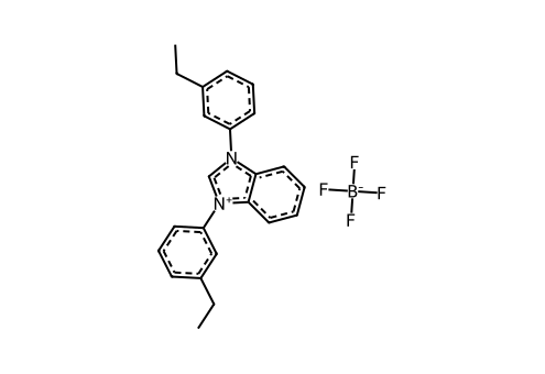 CCc1cccc(-n2c[n+](-c3cccc(CC)c3)c3ccccc32)c1.F[B-](F)(F)F